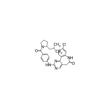 CC(C)CC1CCCN1C(=O)c1ccc(Nc2ncc3c(n2)-c2ccc(Cl)cc2NC(=O)C3)cc1